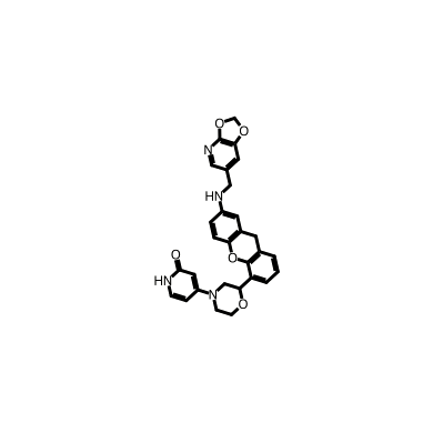 O=c1cc(N2CCOC(c3cccc4c3Oc3ccc(NCc5cnc6c(c5)OCO6)cc3C4)C2)cc[nH]1